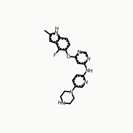 Cc1cc2c(F)c(Oc3cc(Nc4ccc(N5CCNCC5)cn4)ncn3)ccc2[nH]1